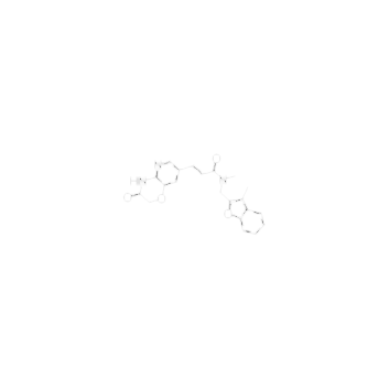 Cc1c(CN(C)C(=O)C=Cc2cnc3c(c2)OCC(=O)N3)oc2ccccc12